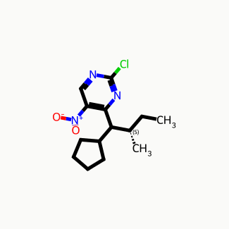 CC[C@H](C)C(c1nc(Cl)ncc1[N+](=O)[O-])C1CCCC1